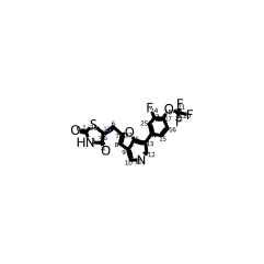 O=C1NC(=O)/C(=C\c2cc3cncc(-c4ccc(OC(F)(F)F)c(F)c4)c3o2)S1